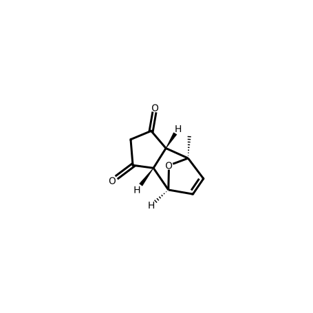 C[C@]12C=C[C@H](O1)[C@@H]1C(=O)CC(=O)[C@@H]12